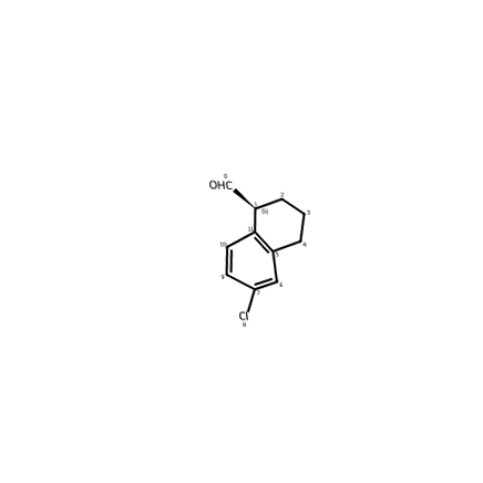 O=C[C@H]1CCCc2cc(Cl)ccc21